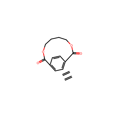 C=C.C=C.O=C1OCCCCOC(=O)c2ccc1cc2